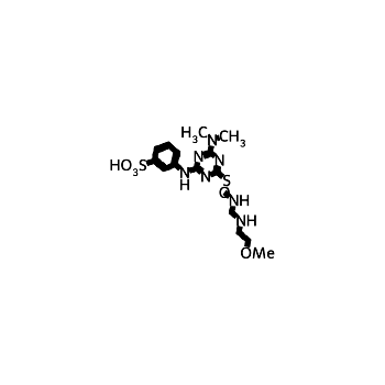 COCCNCNOSc1nc(Nc2cccc(S(=O)(=O)O)c2)nc(N(C)C)n1